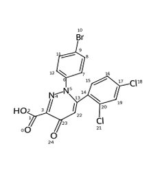 O=C(O)c1nn(-c2ccc(Br)cc2)c(-c2ccc(Cl)cc2Cl)cc1=O